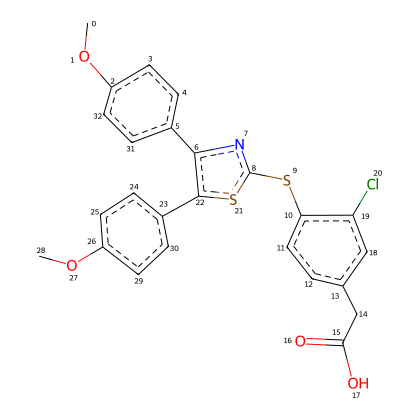 COc1ccc(-c2nc(Sc3ccc(CC(=O)O)cc3Cl)sc2-c2ccc(OC)cc2)cc1